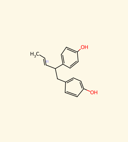 C/C=C/C(Cc1ccc(O)cc1)c1ccc(O)cc1